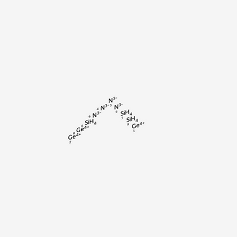 [Ge+4].[Ge+4].[Ge+4].[N-3].[N-3].[N-3].[N-3].[SiH4].[SiH4].[SiH4]